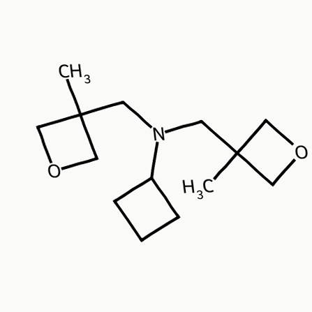 CC1(CN(CC2(C)COC2)C2CCC2)COC1